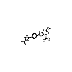 COC(=O)O[C@H]1OC(c2ccc(C3=N[C@@H](C(C)C)CO3)cc2)O[C@@H]1OC(=O)OC